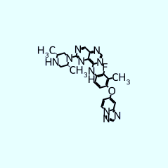 Cc1c(Oc2ccn3ncnc3c2)ccc(Nc2ncnc3cnc(N4C[C@@H](C)NC[C@H]4C)nc23)c1F